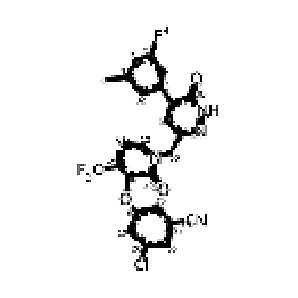 Cc1cc(F)cc(-c2cc(Cn3cnc(C(F)(F)F)c(Oc4cc(Cl)cc(C#N)c4)c3=O)n[nH]c2=O)c1